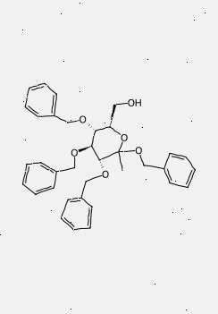 CC1(OCc2ccccc2)O[C@H](CO)[C@@H](OCc2ccccc2)[C@H](OCc2ccccc2)[C@H]1OCc1ccccc1